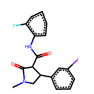 CN1CC(c2cccc(I)c2)C(C(=O)Nc2ccccc2F)C1=O